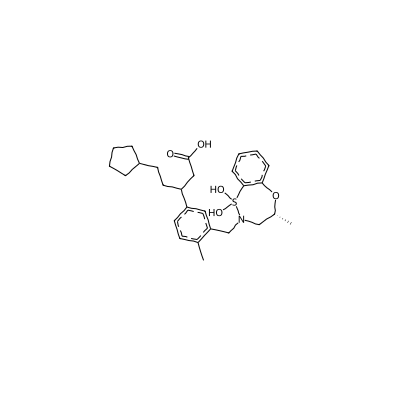 Cc1ccc(C(CCC2CCCC2)CC(=O)O)cc1CN1C[C@@H](C)Oc2ccccc2S1(O)O